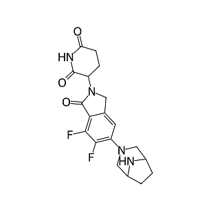 O=C1CCC(N2Cc3cc(N4CC5CCC(C4)N5)c(F)c(F)c3C2=O)C(=O)N1